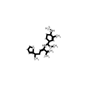 C=C(C)/C(=C\CC(C)C1=CCCO1)NC(OC)C1C=C(C)C(NC)CC1